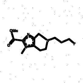 COC(=O)c1nc2c(n1C)CCN(CCCF)C2